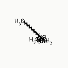 CCCCCCCCCCCCCCCCC(C(N)=O)P(=O)(O)OC